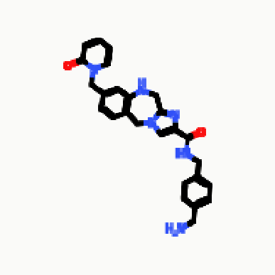 NCc1ccc(CNC(=O)c2cn3c(n2)CNc2cc(Cn4ccccc4=O)ccc2C3)cc1